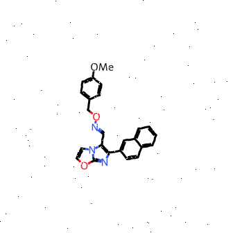 COc1ccc(CON=Cc2c(-c3ccc4ccccc4c3)nc3occn23)cc1